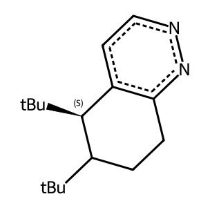 CC(C)(C)C1CCc2nnccc2[C@@H]1C(C)(C)C